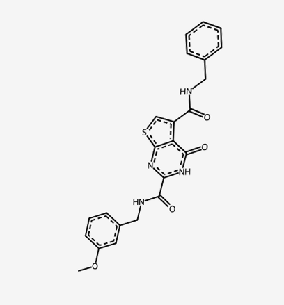 COc1cccc(CNC(=O)c2nc3scc(C(=O)NCc4ccccc4)c3c(=O)[nH]2)c1